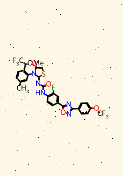 COC(c1ccc(C)cc1N1C(=O)CS/C1=N\C(=O)Nc1ccc(-c2nc(-c3ccc(OC(F)(F)F)cc3)no2)cc1F)C(F)(F)F